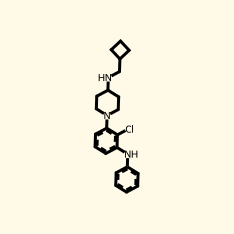 Clc1c(Nc2ccccc2)cccc1N1CCC(NCC2CCC2)CC1